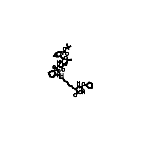 C=CC1CC1(NC(=O)C1C2CC2CN1C(=O)OC(C)(C)C)C(=O)NS(=O)(=O)c1ccccc1NCCCCCCC[C@H](NC(=O)OC1CCCC1)C(=O)O